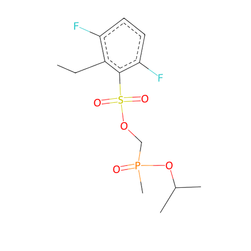 CCc1c(F)ccc(F)c1S(=O)(=O)OCP(C)(=O)OC(C)C